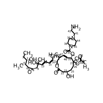 CC[C@H](O)[C@@H](C)[C@H]1O[C@@H]1CC(C)(O)/C=C/C=C(\C)[C@H]1OC(=O)C[C@H](O)CC[C@@](C)(OC(C)=O)[C@@H](OC(=O)N2CCN(CCN)CC2)/C=C/[C@@H]1C